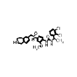 COc1cc(S(=O)(=O)Cc2ccc3c(c2)CCNC3)ccc1NC(=O)N[C@H](C)c1cccc(Cl)c1Cl